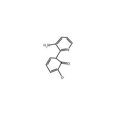 Nc1cccnc1C1C=CC=C([O])C1=O